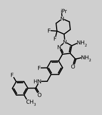 Cc1ccc(F)cc1C(=O)NCc1ccc(-c2nn(C3CCN(C(C)C)CC3(F)F)c(N)c2C(N)=O)cc1F